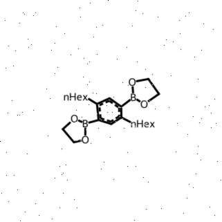 CCCCCCc1cc(B2OCCO2)c(CCCCCC)cc1B1OCCO1